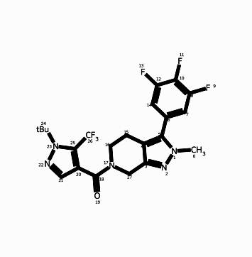 Cn1nc2c(c1-c1cc(F)c(F)c(F)c1)CCN(C(=O)c1cnn(C(C)(C)C)c1C(F)(F)F)C2